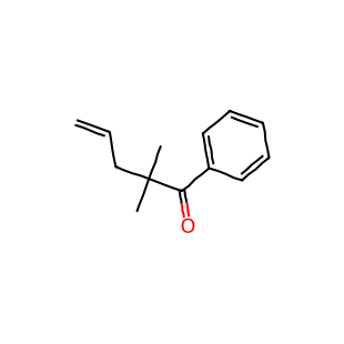 C=CCC(C)(C)C(=O)c1ccccc1